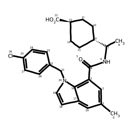 Cc1cc(C(=O)NC(C)[C@H]2CC[C@H](C(=O)O)CC2)c2c(ccn2Cc2ccc(Cl)cc2)c1